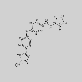 Clc1ccc(-c2ccc(Cc3ccc(OCC4CCCN4)cc3)cc2)s1